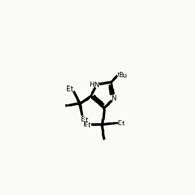 CCC(C)(CC)c1nc(C(C)(C)C)[nH]c1C(C)(CC)CC